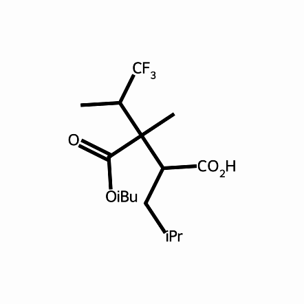 CC(C)COC(=O)C(C)(C(CC(C)C)C(=O)O)C(C)C(F)(F)F